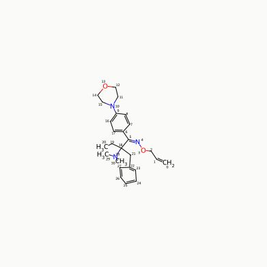 C=CCON=C(c1ccc(N2CCOCC2)cc1)C(CC)(Cc1ccccc1)N(C)C